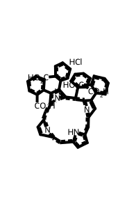 Cl.O=C(O)c1ccccc1C1=Cc2cc3ccc(cc4nc(cc5[nH]c(c(-c6ccccc6C(=O)O)c1n2)c(-c1ccccc1C(=O)O)c5-c1ccccc1C(=O)O)C=C4)[nH]3